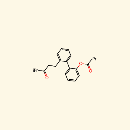 CC(C)C(=O)CCc1ccccc1-c1ccccc1OC(=O)C(C)C